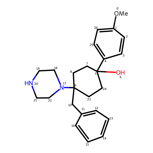 COc1ccc(C2(O)CCC(Cc3ccccc3)(N3CCNCC3)CC2)cc1